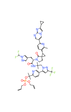 C=CCOP(=O)(OCC=C)OC(C)(C)c1ccc(-c2cc(C(F)(F)F)nn2CC(C)(C)NC(=O)[C@@H](Cc2cnn(C(F)F)c2)N2CC[C@@]3(C[C@@H]3c3ccc(-c4cnc5nc(C6CC6)cn5c4)nc3C)C2=O)cn1